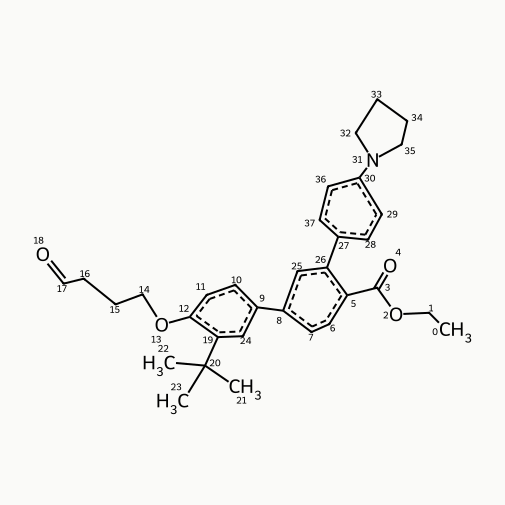 CCOC(=O)c1ccc(-c2ccc(OCCCC=O)c(C(C)(C)C)c2)cc1-c1ccc(N2CCCC2)cc1